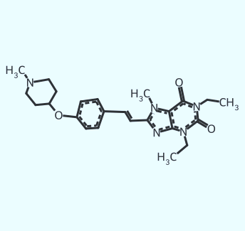 CCn1c(=O)c2c(nc(C=Cc3ccc(OC4CCN(C)CC4)cc3)n2C)n(CC)c1=O